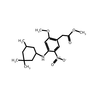 COC(=O)Cc1cc([N+](=O)[O-])c(NC2CC(C)CC(C)(C)C2)cc1OC